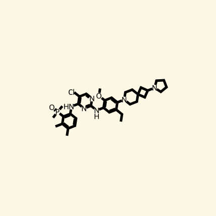 CCc1cc(Nc2ncc(Cl)c(Nc3ccc(C)c(C)c3P(C)(C)=O)n2)c(OC)cc1N1CCC2(CC1)CC(N1CCCC1)C2